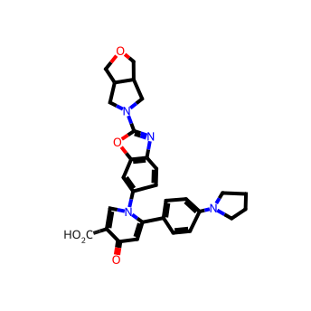 O=C(O)c1cn(-c2ccc3nc(N4CC5COCC5C4)oc3c2)c(-c2ccc(N3CCCC3)cc2)cc1=O